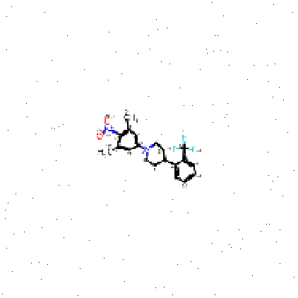 Cc1cc(N2CCC(c3ccccc3C(F)(F)F)CC2)cc(C)c1[N+](=O)[O-]